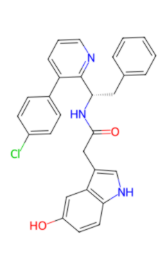 O=C(Cc1c[nH]c2ccc(O)cc12)N[C@@H](Cc1ccccc1)c1ncccc1-c1ccc(Cl)cc1